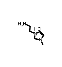 CN1C=CN(CCN)C1.Cl